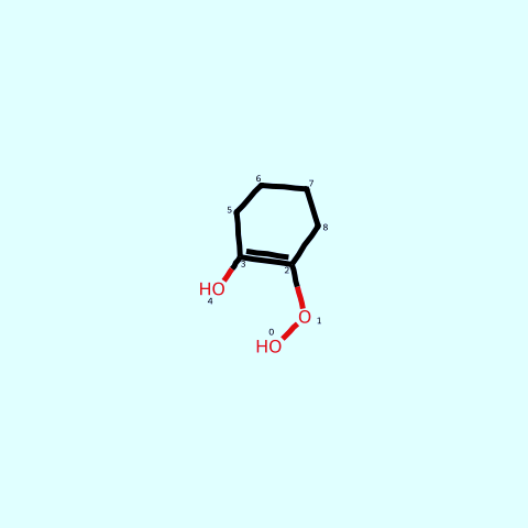 OOC1=C(O)CCCC1